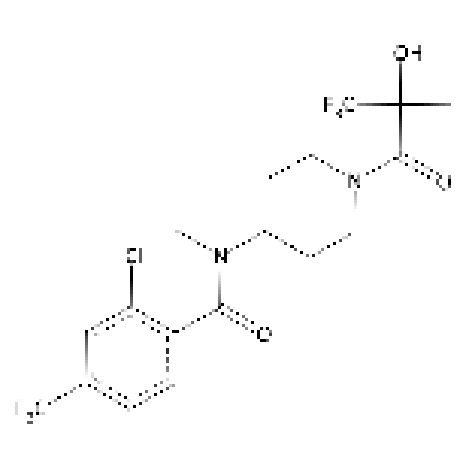 CN(C(=O)c1ccc(C(F)(F)F)cc1Cl)C1CCN(C(=O)C(C)(O)C(F)(F)F)CC1